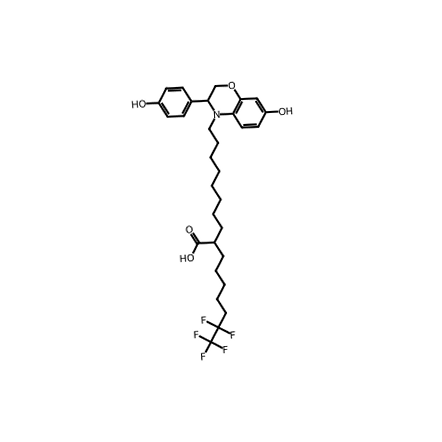 O=C(O)C(CCCCCCCCN1c2ccc(O)cc2OCC1c1ccc(O)cc1)CCCCCC(F)(F)C(F)(F)F